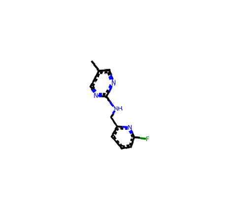 Cc1cnc(NCc2cccc(F)n2)nc1